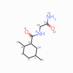 CC1CCC(C)C(C(=O)NCC(N)=O)C1